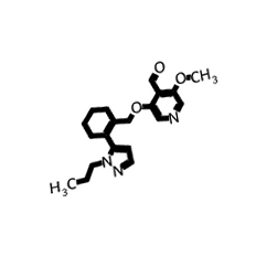 CCCn1nccc1C1=C(COc2cncc(OC)c2C=O)CCCC1